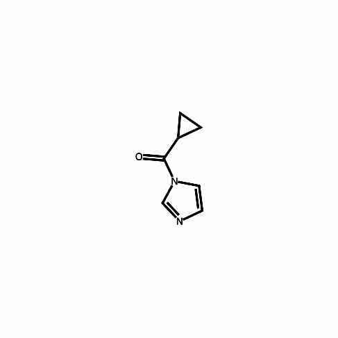 O=C(C1CC1)n1ccnc1